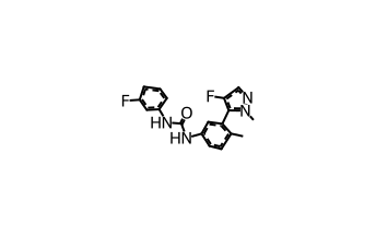 Cc1ccc(NC(=O)Nc2cccc(F)c2)cc1-c1c(F)cnn1C